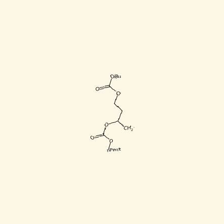 [CH2]C(CCOC(=O)OCC(C)C)OC(=O)OCCCCC